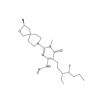 C=NNc1nc(N2CCC3(CC2)CO[C@@H](C)C3)n(C)c(=O)c1CCC(CC)C(F)CCC